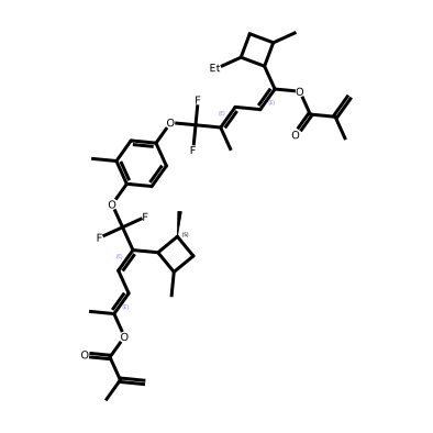 C=C(C)C(=O)O/C(C)=C/C=C(\C1C(C)C[C@@H]1C)C(F)(F)Oc1ccc(OC(F)(F)/C(C)=C/C=C(/OC(=O)C(=C)C)C2C(C)CC2CC)cc1C